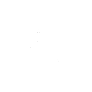 O=c1ccsc(O)c1O